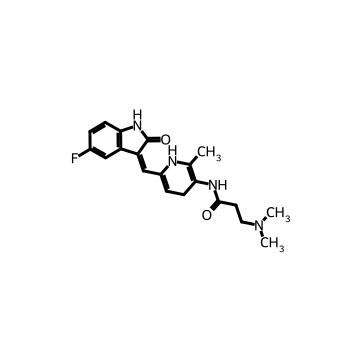 CC1=C(NC(=O)CCN(C)C)CC=C(/C=C2\C(=O)Nc3ccc(F)cc32)N1